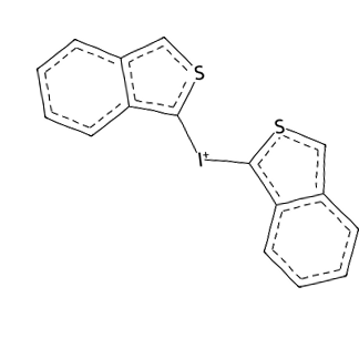 c1ccc2c([I+]c3scc4ccccc34)scc2c1